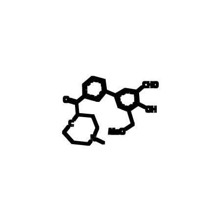 COCc1cc(-c2cccc(C(=O)C3CCCCN(C)CC3)c2)cc(C=O)c1O